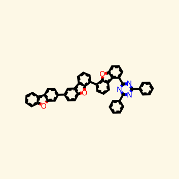 c1ccc(-c2nc(-c3ccccc3)nc(-c3cccc4oc5c(-c6cccc7c6oc6ccc(-c8ccc9c(c8)oc8ccccc89)cc67)cccc5c34)n2)cc1